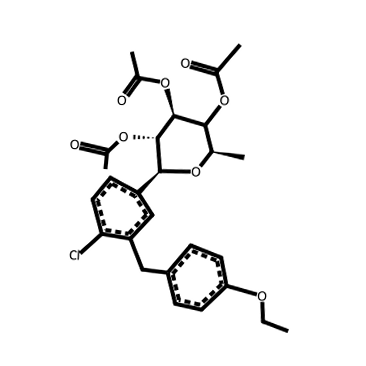 CCOc1ccc(Cc2cc([C@@H]3O[C@H](C)C(OC(C)=O)[C@H](OC(C)=O)[C@H]3OC(C)=O)ccc2Cl)cc1